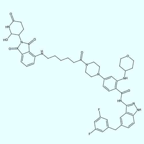 O=C1CCC(N2C(=O)c3cccc(NCCCCCC(=O)N4CCN(c5ccc(C(=O)Nc6n[nH]c7ccc(Cc8cc(F)cc(F)c8)cc67)c(NC6CCOCC6)c5)CC4)c3C2=O)C(O)N1